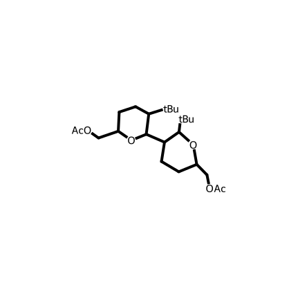 CC(=O)OCC1CCC(C(C)(C)C)C(C2CCC(COC(C)=O)OC2C(C)(C)C)O1